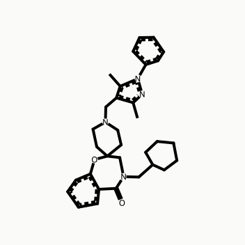 Cc1nn(-c2ccccc2)c(C)c1CN1CCC2(CC1)CN(CC1CCCCC1)C(=O)c1ccccc1O2